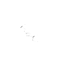 CC(C)(C)CC(=O)N1CC(CNC(=O)C(C)(C)C)C1